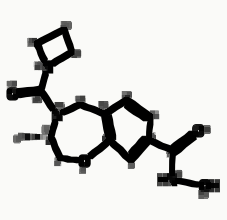 C[C@H]1COc2cc(C(=O)NO)ccc2CN1C(=O)N1CCC1